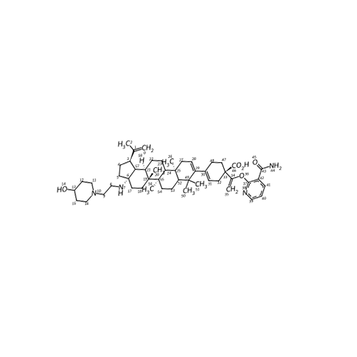 C=C(C)[C@@H]1CC[C@]2(NCCN3CCC(O)CC3)CC[C@]3(C)[C@H](CCC4[C@@]5(C)CC=C(C6=CC[C@](C(=C)Oc7ncccc7C(N)=O)(C(=O)O)CC6)C(C)(C)C5CC[C@]43C)C12